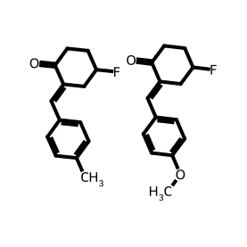 COc1ccc(C=C2CC(F)CCC2=O)cc1.Cc1ccc(C=C2CC(F)CCC2=O)cc1